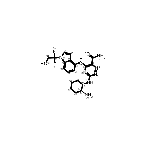 NC(=O)c1nnc(N[C@@H]2CCCC[C@@H]2N)nc1Nc1cccc2c1ccn2C(F)(F)CO